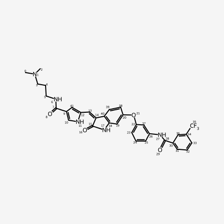 CN(C)CCCNC(=O)c1c[nH]c(C=C2C(=O)Nc3cc(Oc4cccc(NC(=O)c5cccc(C(F)(F)F)c5)c4)ccc32)c1